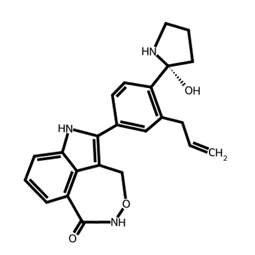 C=CCc1cc(-c2[nH]c3cccc4c3c2CONC4=O)ccc1[C@]1(O)CCCN1